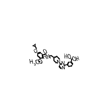 COc1cc(OCC2CC2)cc(C(=O)NCC2CCN(c3ccnc(-c4cccc(C(O)O)c4)n3)CC2)c1